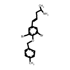 Cc1ccc(COc2c(Br)cc(C=CCC(C)N)cc2Br)cc1